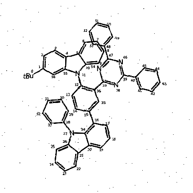 CC(C)(C)c1ccc2c3ccccc3n(-c3ccc(-c4cccc5c6ccccc6n(-c6ccccc6)c45)cc3-c3nc(-c4ccccc4)nc(-c4ccccc4)n3)c2c1